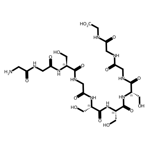 NCC(=O)NCC(=O)N[C@@H](CO)C(=O)NCC(=O)N[C@@H](CO)C(=O)N[C@@H](CO)C(=O)N[C@@H](CO)C(=O)NCC(=O)NCC(=O)NCC(=O)O